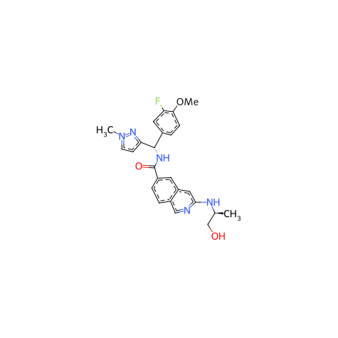 COc1ccc([C@H](NC(=O)c2ccc3cnc(N[C@@H](C)CO)cc3c2)c2ccn(C)n2)cc1F